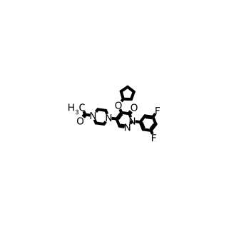 CC(=O)N1CCN(c2cnn(-c3cc(F)cc(F)c3)c(=O)c2OC2CCCC2)CC1